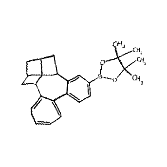 CC1(C)OB(c2ccc3c(c2)C2CC4CC5CC(c6ccccc6-3)C542)OC1(C)C